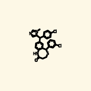 Cn1cncc1C(c1ccc(Cl)cc1)c1ccc2c(c1)C(c1cccc(Cl)c1)SCCC(=O)N2